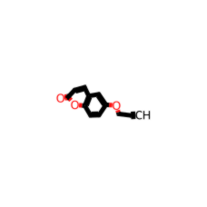 C#CCOc1ccc2oc(=O)ccc2c1